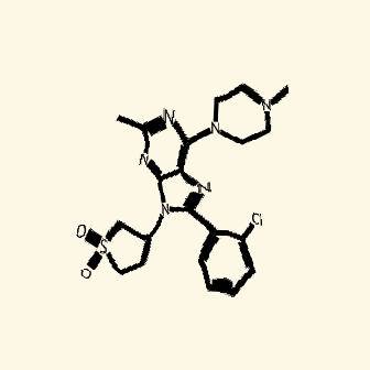 Cc1nc(N2CCN(C)CC2)c2nc(-c3ccccc3Cl)n(C3CCS(=O)(=O)C3)c2n1